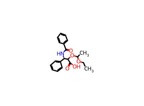 CCOC(C)OC(C(=O)O)[C@H](NC(=O)c1ccccc1)c1ccccc1